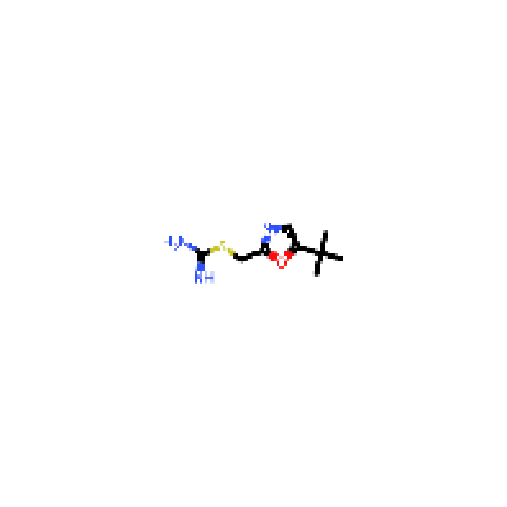 CC(C)(C)c1cnc(CSC(=N)N)o1